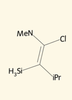 CNC(Cl)=C([SiH3])C(C)C